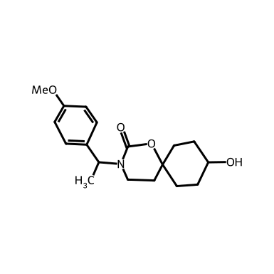 COc1ccc(C(C)N2CCC3(CCC(O)CC3)OC2=O)cc1